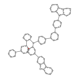 c1ccc(-c2cccc(-c3ccccc3N(c3ccc(-c4cccc(-c5ccc(-n6c7ccccc7c7ccccc76)cc5)c4)cc3)c3cccc(-c4ccc5c(c4)oc4ccccc45)c3)c2)cc1